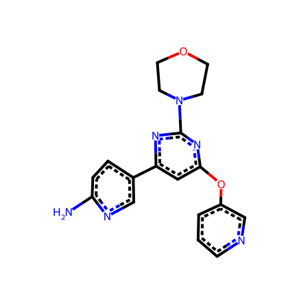 Nc1ccc(-c2cc(Oc3cccnc3)nc(N3CCOCC3)n2)cn1